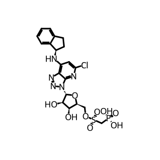 O=P(O)(O)CS(=O)(=O)OC[C@@H]1O[C@@H](n2nnc3c(N[C@@H]4CCc5ccccc54)cc(Cl)nc32)[C@H](O)[C@@H]1O